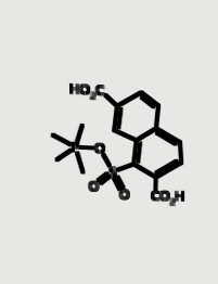 CP(C)(C)(C)OS(=O)(=O)c1c(C(=O)O)ccc2ccc(C(=O)O)cc12